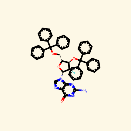 Nc1nc2c(ncn2[C@@H]2O[C@H](COC(c3ccccc3)(c3ccccc3)c3ccccc3)[C@@H](OC(c3ccccc3)(c3ccccc3)c3ccccc3)[C@@H]2F)c(=O)[nH]1